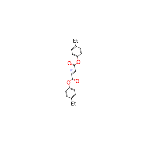 CCc1ccc(OC(=O)/C=C/C(=O)Oc2ccc(CC)cc2)cc1